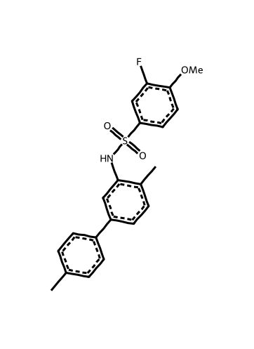 COc1ccc(S(=O)(=O)Nc2cc(-c3ccc(C)cc3)ccc2C)cc1F